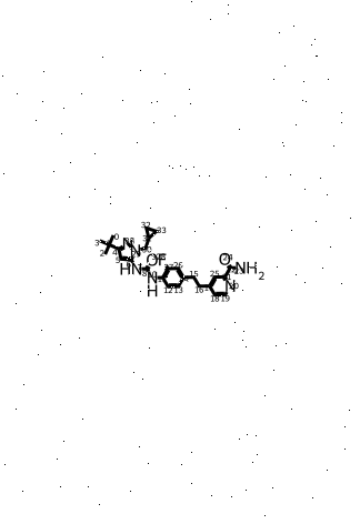 CC(C)(C)c1cc(NC(=O)Nc2ccc(CCc3ccnc(C(N)=O)c3)cc2F)n(CC2CC2)n1